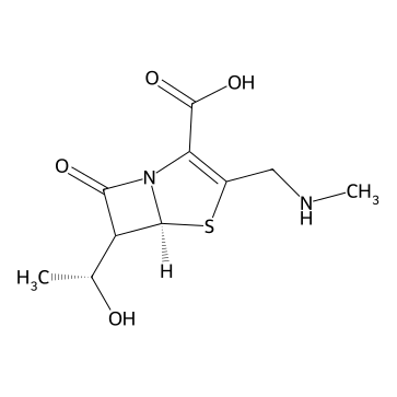 CNCC1=C(C(=O)O)N2C(=O)C([C@@H](C)O)[C@@H]2S1